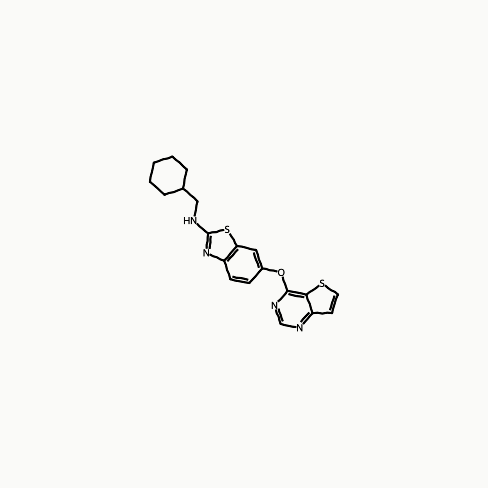 c1nc(Oc2ccc3nc(NCC4CCCCC4)sc3c2)c2sccc2n1